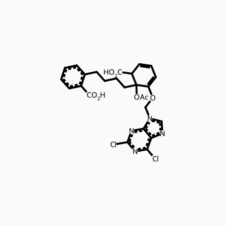 CC(=O)OC1(CCCCc2ccccc2C(=O)O)C(OCn2cnc3c(Cl)nc(Cl)nc32)=CC=CC1C(=O)O